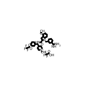 COc1cccc2c1cc(C(=O)NC(c1ccccc1)c1cc[n+](C)cc1)n2Cc1cccc(C(=N)N)c1.O=C(O)C(F)(F)F.O=C([O-])C(F)(F)F